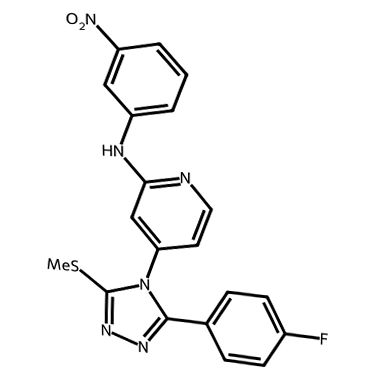 CSc1nnc(-c2ccc(F)cc2)n1-c1ccnc(Nc2cccc([N+](=O)[O-])c2)c1